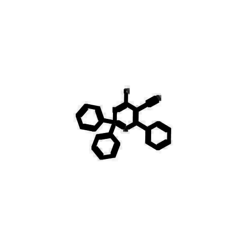 N#CC1=C(c2ccccc2)N=P(c2ccccc2)(c2ccccc2)N=C1Cl